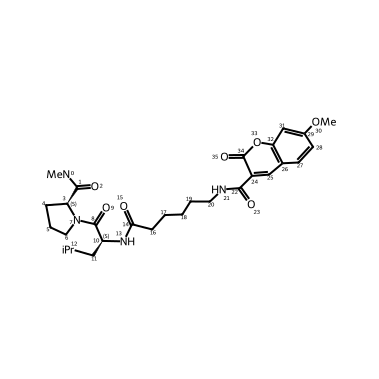 CNC(=O)[C@@H]1CCCN1C(=O)[C@H](CC(C)C)NC(=O)CCCCCNC(=O)c1cc2ccc(OC)cc2oc1=O